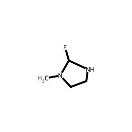 CN1CCNC1F